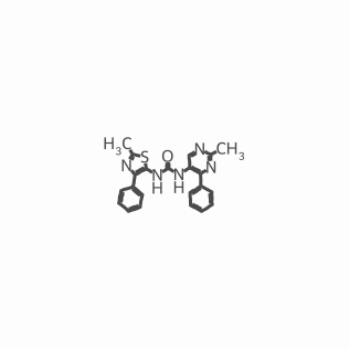 Cc1ncc(NC(=O)Nc2sc(C)nc2-c2ccccc2)c(-c2ccccc2)n1